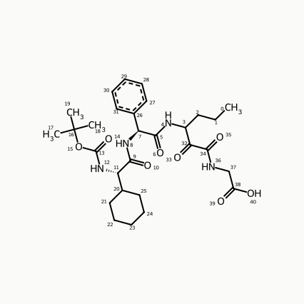 CCCC(NC(=O)[C@@H](NC(=O)[C@@H](NC(=O)OC(C)(C)C)C1CCCCC1)c1ccccc1)C(=O)C(=O)NCC(=O)O